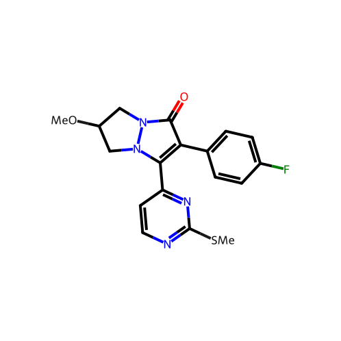 COC1Cn2c(-c3ccnc(SC)n3)c(-c3ccc(F)cc3)c(=O)n2C1